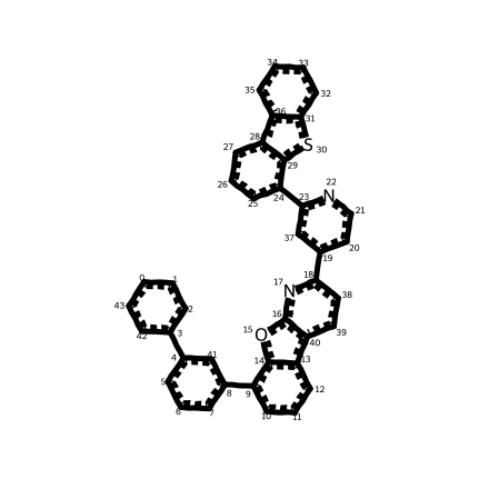 c1ccc(-c2cccc(-c3cccc4c3oc3nc(-c5ccnc(-c6cccc7c6sc6ccccc67)c5)ccc34)c2)cc1